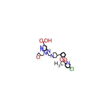 CC1(c2ccc(Cl)cn2)Oc2cccc(C3CCN(Cc4nc5cc(C(=O)O)nnc5n4CC4CCO4)CC3)c2O1